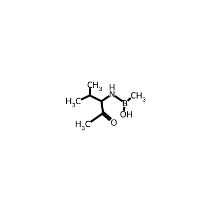 CB(O)NC(C(C)=O)C(C)C